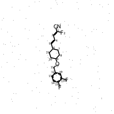 N#CC(F)=CC=CC1CCC(OCc2ccc(F)c(F)c2)CC1